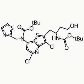 CC(C)(C)OC(=O)NC(CCO)Cc1sc2c(N(Cc3nccs3)C(=O)OC(C)(C)C)cc(Cl)nc2c1Cl